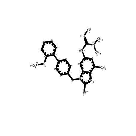 CCCc1nc2c(C)cc(NC(=NC#N)N(C)C)cc2n1Cc1ccc(-c2ccccc2OC(=O)O)cc1